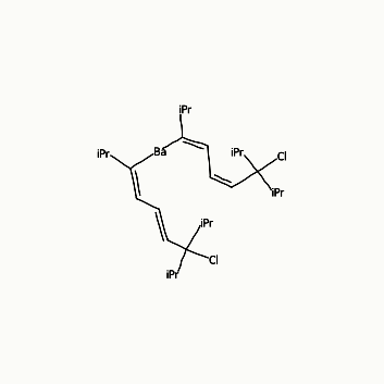 CC(C)[C](=CC=CC(Cl)(C(C)C)C(C)C)[Ba][C](=CC=CC(Cl)(C(C)C)C(C)C)C(C)C